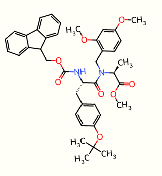 COC(=O)[C@H](C)N(Cc1ccc(OC)cc1OC)C(=O)[C@H](Cc1ccc(OC(C)(C)C)cc1)NC(=O)OCC1c2ccccc2-c2ccccc21